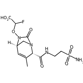 CC1=C[C@@H]2CN(C(=O)N2OC(F)C(=O)O)[C@@H]1C(=O)NCCS(N)(=O)=O